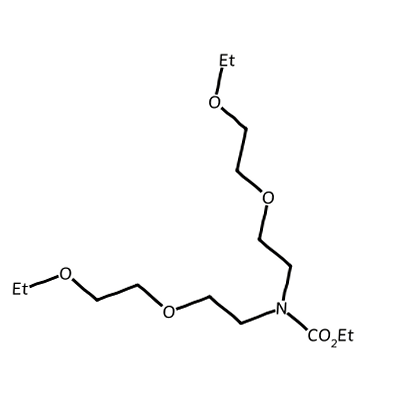 [CH2]COC(=O)N(CCOCCOCC)CCOCCOCC